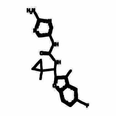 Cc1c(C(NC(=O)Nc2cnc(N)nc2)C2(C)CC2)oc2ccc(F)cc12